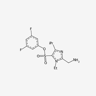 CCn1c(CN)nc(C(C)C)c1S(=O)(=O)Oc1cc(F)cc(F)c1